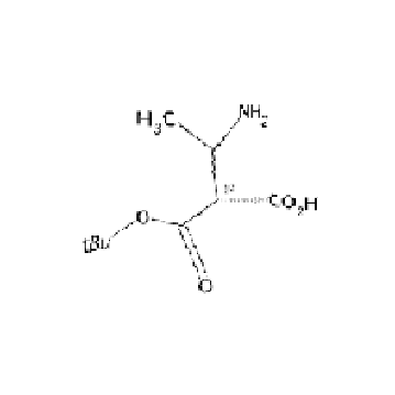 CC(N)[C@H](C(=O)O)C(=O)OC(C)(C)C